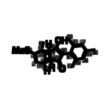 CSC1=C[C@@H]2O[C@@]1(C)[C@@H]1C(O)=C(c3c(C)cc(C)cc3C)C(=O)[C@H]21